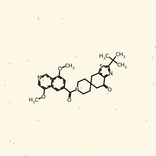 COc1cc(C(=O)N2CCC3(CC2)CC(=O)c2nc(C(C)(C)C)sc2C3)cc2c(OC)cncc12